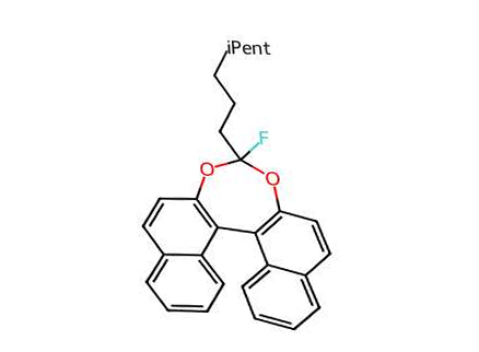 CCCC(C)CCCC1(F)Oc2ccc3ccccc3c2-c2c(ccc3ccccc23)O1